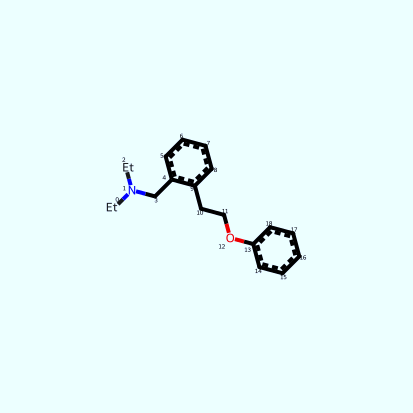 CCN(CC)Cc1ccccc1CCOc1ccccc1